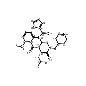 COc1cccc2c1C(=O)N1C(CN(CC3CCNCC3)C(=O)[C@@H]1CC(C)C)N2C(=O)c1ccco1